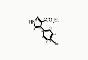 CCOC(=O)c1c[nH]cc1-c1ccc(I)cc1